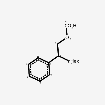 CCCCCCC(COC(=O)O)c1ccccc1